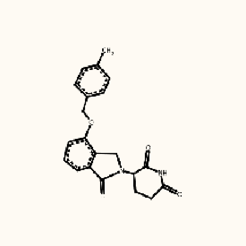 Cc1ccc(COc2cccc3c2CN(C2CCC(=O)NC2=O)C3=O)cc1